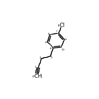 C#C[CH]Cc1ccc(Cl)cc1